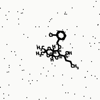 CCC[C@@H](O)[C@H]1O[C@@H]2OC(C)(C)O[C@@H]2[C@H]1OCc1ccccc1Cl